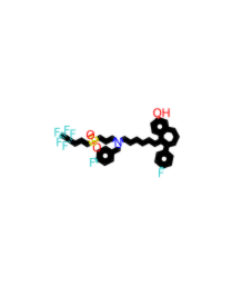 O=S(=O)(CCCN(CCCCCCC1=C(c2ccc(F)cc2)CCCc2cc(O)ccc21)Cc1ccc(F)cc1)CCCC(F)(F)C(F)(F)F